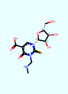 CNCn1c(=O)c(C(=O)O)cn([C@@H]2O[C@H](CO)[C@@H](O)[C@H]2O)c1=S